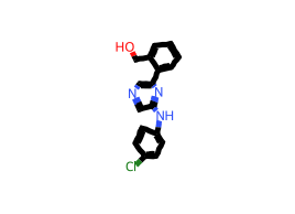 OCc1ccccc1-c1cncc(Nc2ccc(Cl)cc2)n1